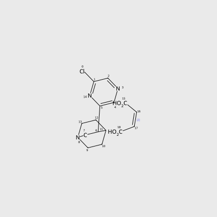 Clc1cncc(C2CN3CCC2CC3)n1.O=C(O)/C=C\C(=O)O